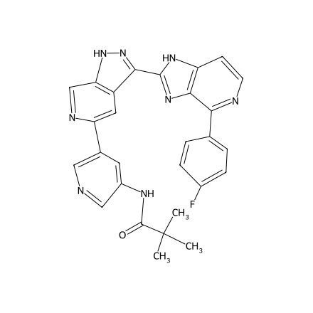 CC(C)(C)C(=O)Nc1cncc(-c2cc3c(-c4nc5c(-c6ccc(F)cc6)nccc5[nH]4)n[nH]c3cn2)c1